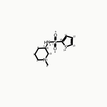 CN1CCC[C@@H](NS(=O)(=O)c2cccs2)C1